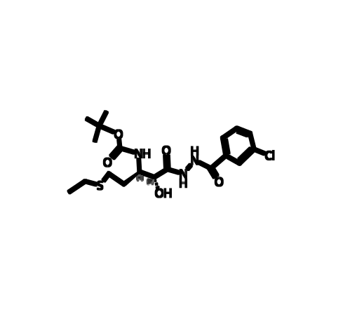 CCSCC[C@@H](NC(=O)OC(C)(C)C)[C@@H](O)C(=O)NNC(=O)c1cccc(Cl)c1